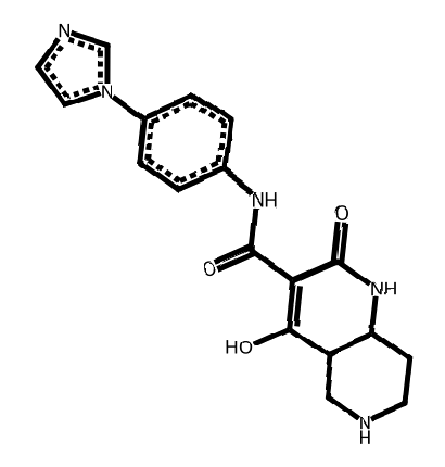 O=C(Nc1ccc(-n2ccnc2)cc1)C1=C(O)C2CNCCC2NC1=O